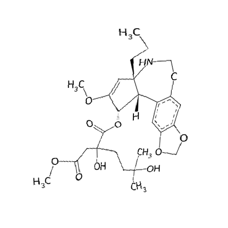 CCC[C@]12C=C(OC)[C@@H](OC(=O)C(O)(CCC(C)(C)O)CC(=O)OC)[C@H]1c1cc3c(cc1CCN2)OCO3